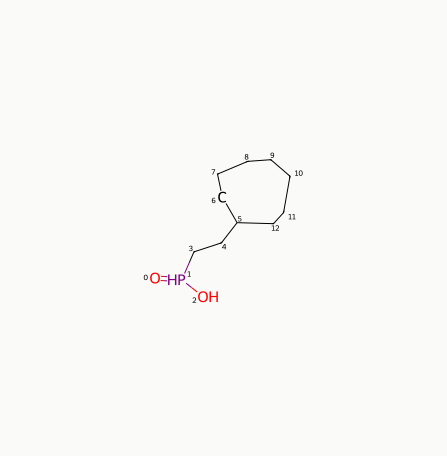 O=[PH](O)CCC1CCCCCCC1